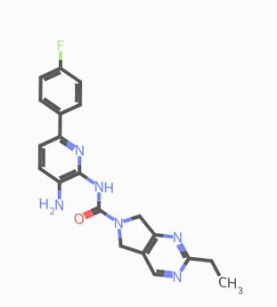 CCc1ncc2c(n1)CN(C(=O)Nc1nc(-c3ccc(F)cc3)ccc1N)C2